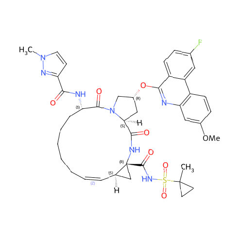 COc1ccc2c(c1)nc(O[C@@H]1C[C@H]3C(=O)N[C@]4(C(=O)NS(=O)(=O)C5(C)CC5)C[C@H]4/C=C\CCCCC[C@H](NC(=O)c4ccn(C)n4)C(=O)N3C1)c1ccc(F)cc12